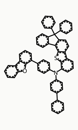 c1ccc(-c2ccc(N(c3ccc(-c4cccc5c4oc4ccccc45)cc3)c3cccc4c3sc3c5c(ccc34)C(c3ccccc3)(c3ccccc3)c3ccccc3-5)cc2)cc1